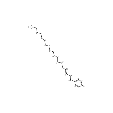 CCCCCCCCCCCCCCCC=CCSc1ccccc1